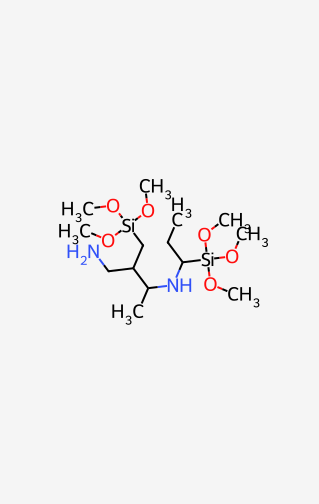 CCC(NC(C)C(CN)C[Si](OC)(OC)OC)[Si](OC)(OC)OC